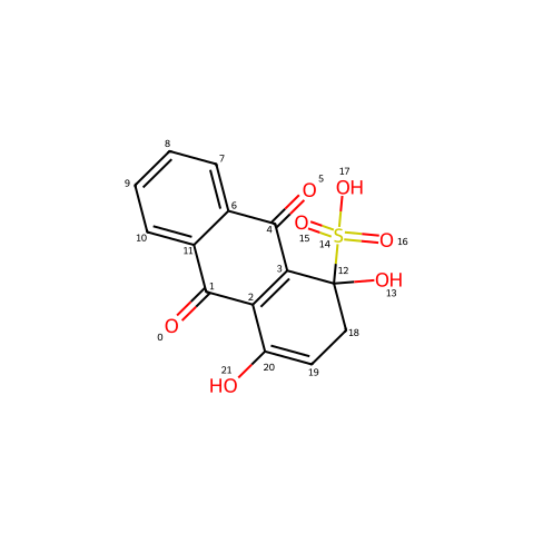 O=C1C2=C(C(=O)c3ccccc31)C(O)(S(=O)(=O)O)CC=C2O